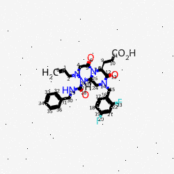 C=CCN1CC(=O)N2[C@@H](CCC(=O)O)C(=O)N(Cc3ccc(F)cc3F)C[C@@H]2N1C(=O)NCc1ccccc1